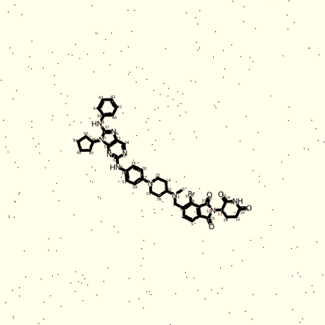 CN(Cc1ccc2c(c1Br)C(=O)N(C1CCC(=O)NC1=O)C2=O)C1CCN(c2ccc(Nc3ncc4nc(Nc5ccccc5)n(C5CCCC5)c4n3)cc2)CC1